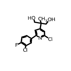 CC(CO)(CO)c1cc(Cl)nc(-c2ccc(F)c(Cl)c2)c1